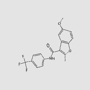 COc1ccc2oc(C)c(C(=O)Nc3ccc(C(F)(F)F)cc3)c2c1